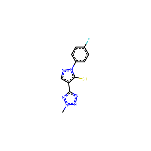 Cn1nnc(-c2cnn(-c3ccc(F)cc3)c2S)n1